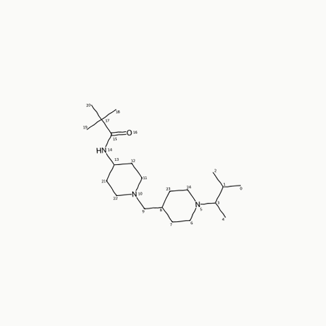 CC(C)C(C)N1CCC(CN2CCC(NC(=O)C(C)(C)C)CC2)CC1